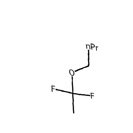 CCCCOC(C)(F)F